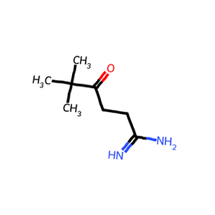 CC(C)(C)C(=O)CCC(=N)N